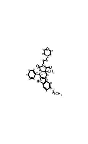 CCOc1ccc2[nH]c3c(c2c1)C[C@@]1(C)C(=O)N(CCN2CCOCC2)C(=O)N1[C@@H]3C1=CCCC=C1